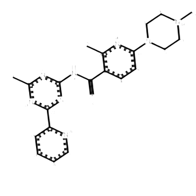 Cc1nc(NC(=O)c2ccc(N3CCN(C)CC3)nc2C)nc(-c2ccccn2)n1